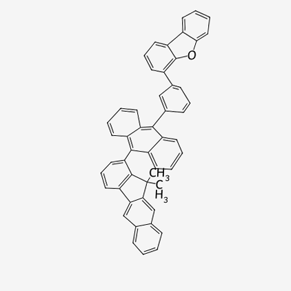 CC1(C)c2cc3ccccc3cc2-c2cccc(-c3c4ccccc4c(-c4cccc(-c5cccc6c5oc5ccccc56)c4)c4ccccc34)c21